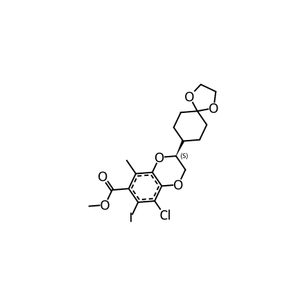 COC(=O)c1c(C)c2c(c(Cl)c1I)OC[C@H](C1CCC3(CC1)OCCO3)O2